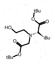 CC[C@H](C)[C@@H](C(=O)OC(C)(C)C)N(CCO)CC(=O)OC(C)(C)C